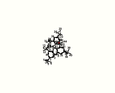 Cc1cc([Si](C)(C)C)cc([Si](C)(C)C)c1[Si](Cl)(c1c(C)cc([Si](C)(C)C)cc1[Si](C)(C)C)c1c(C)cc([Si](C)(C)C)cc1[Si](C)(C)C